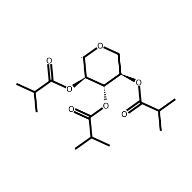 CC(C)C(=O)O[C@@H]1[C@@H](OC(=O)C(C)C)[CH]OC[C@H]1OC(=O)C(C)C